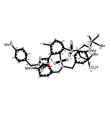 COc1ccc(CN(Cc2ccc(OC)cc2)S(=O)(=O)c2c(S(=O)(=O)[C@@H](CO[Si](C)(C)C(C)(C)C)CN(C(=O)O)C(C)(C)C)ccc(I)c2-c2nnn(Cc3ccc(OC)cc3)n2)cc1